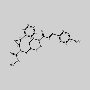 CC(C)(C)OC(=O)N(CC1CCN(C(=O)C=Cc2ccc(C(=O)O)cc2)CC1)C1CC1c1ccccc1